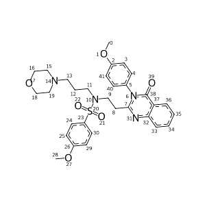 COc1ccc(-n2c(CCN(CCCN3CCOCC3)S(=O)(=O)c3ccc(OC)cc3)nc3ccccc3c2=O)cc1